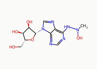 CN(O)Nc1ncnc2c1ncn2[C@@H]1O[C@H](CO)[C@@H](O)[C@H]1O